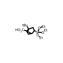 CCO[Si](OCC)(OCC)C1CC2(C(C)(C)C)CC1CC2C(=O)O